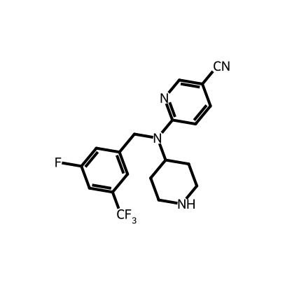 N#Cc1ccc(N(Cc2cc(F)cc(C(F)(F)F)c2)C2CCNCC2)nc1